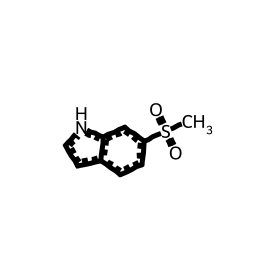 CS(=O)(=O)c1ccc2cc[nH]c2c1